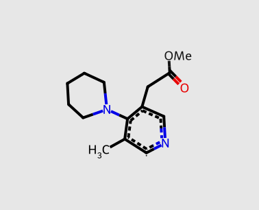 COC(=O)Cc1cn[c]c(C)c1N1CCCCC1